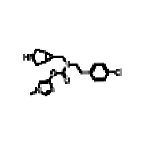 Cn1cnc(OC(=O)N(CCc2ccc(Cl)cc2)CC2C3CNCC32)c1